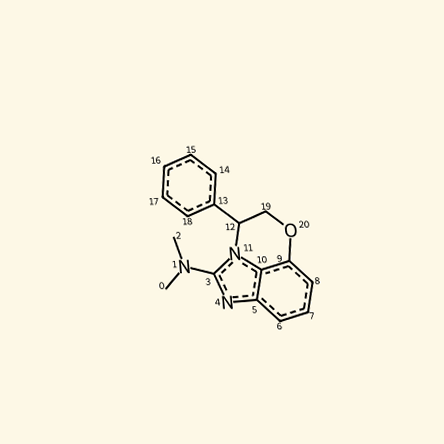 CN(C)c1nc2cccc3c2n1C(c1ccccc1)CO3